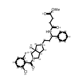 COC(=O)CCC(=O)NC(CCN1CC2CN(C(=O)c3c(F)cccc3Cl)C[C@@H]2C1)c1ccccc1